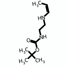 C/C=C\NCCNC(=O)OC(C)(C)C